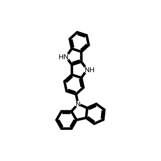 c1ccc2c(c1)[nH]c1c3ccc(-n4c5ccccc5c5ccccc54)cc3[nH]c21